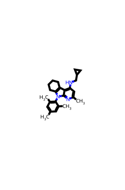 Cc1cc(C)c(-n2c3c(c4c(NCC5CC5)cc(C)nc42)CCCC3)c(C)c1